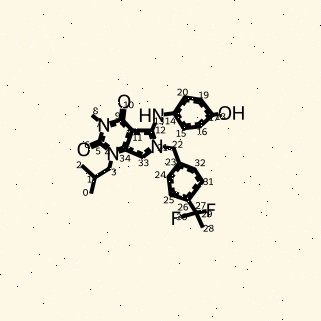 CC(C)Cn1c(=O)n(C)c(=O)c2c(Nc3ccc(O)cc3)n(Cc3ccc(C(C)(F)F)cc3)cc21